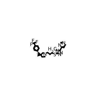 Cn1c(SCCCN2CCC3(C[C@H]3c3ccc(C(F)(F)F)cc3)C2)nnc1-c1ccncn1